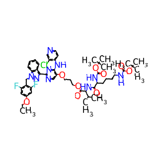 CCOc1cc(F)c(Cn2nc(-c3ncc(OCCCOC(=O)C(NC(=O)C(CCCCNC(=O)OC(C)(C)C)NC(=O)OC(C)(C)C)C(C)C)c(Nc4ccncc4Cl)n3)c3ccccc32)c(F)c1